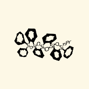 [CH2]CC[Si](O[Si](O[Si](O[Si](O[Si](c1ccccc1)(c1ccccc1)c1ccccc1)(c1ccccc1)c1ccccc1)(c1ccccc1)c1ccccc1)(c1ccccc1)c1ccccc1)(c1ccccc1)c1ccccc1